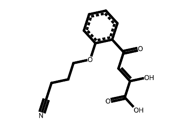 N#CCCCOc1ccccc1C(=O)/C=C(\O)C(=O)O